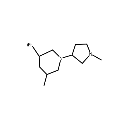 CC1CC(C(C)C)CN(C2CCN(C)C2)C1